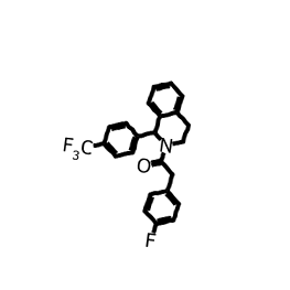 O=C(Cc1ccc(F)cc1)N1CCc2ccccc2C1c1ccc(C(F)(F)F)cc1